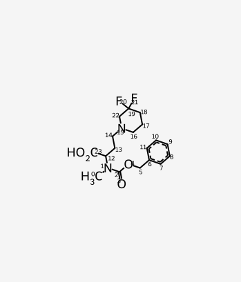 CN(C(=O)OCc1ccccc1)C(CCN1CCCC(F)(F)C1)C(=O)O